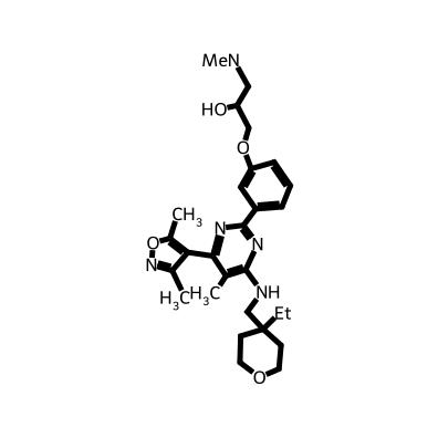 CCC1(CNc2nc(-c3cccc(OCC(O)CNC)c3)nc(-c3c(C)noc3C)c2C)CCOCC1